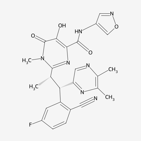 Cc1ncc([C@H](c2cc(F)ccc2C#N)[C@H](C)c2nc(C(=O)Nc3cnoc3)c(O)c(=O)n2C)nc1C